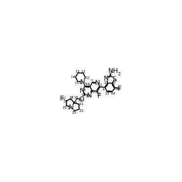 Nc1nc2c(-c3ncc4c(N5CCCCC5)nc(OC[C@@]56CCCN5C[C@H](F)C6)nc4c3F)ccc(F)c2s1